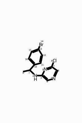 CC(Nc1cncc(Cl)n1)c1ccc(Br)cc1